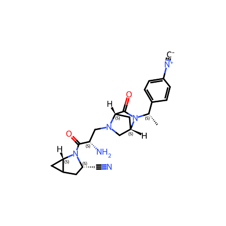 [C-]#[N+]c1ccc([C@H](C)N2C(=O)[C@@H]3C[C@H]2CN3C[C@H](N)C(=O)N2[C@H](C#N)CC3C[C@@H]32)cc1